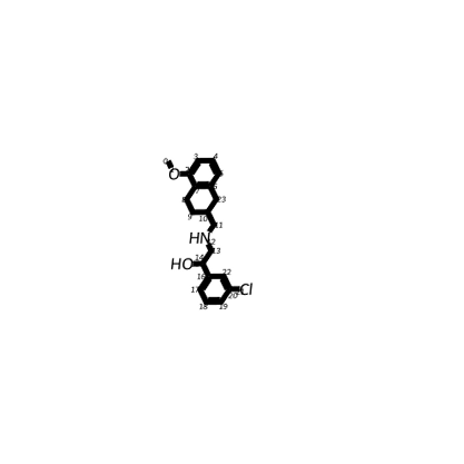 COc1cccc2c1CCC(CNCC(O)c1cccc(Cl)c1)C2